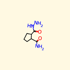 NNC(=O)C1CCCC1C(N)=O